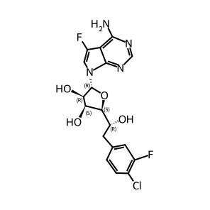 Nc1ncnc2c1c(F)cn2[C@@H]1O[C@@H]([C@H](O)Cc2ccc(Cl)c(F)c2)[C@@H](O)[C@H]1O